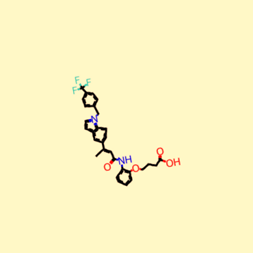 CC(=CC(=O)Nc1ccccc1OCCCC(=O)O)c1ccc2c(ccn2Cc2ccc(C(F)(F)F)cc2)c1